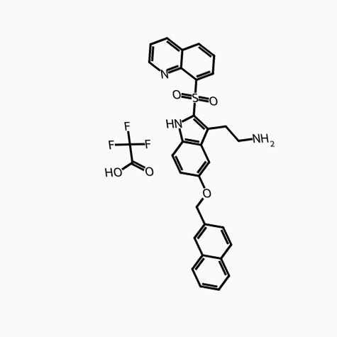 NCCc1c(S(=O)(=O)c2cccc3cccnc23)[nH]c2ccc(OCc3ccc4ccccc4c3)cc12.O=C(O)C(F)(F)F